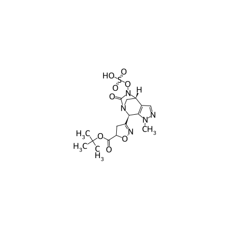 Cn1ncc2c1[C@@H](C1=NOC(C(=O)OC(C)(C)C)C1)N1C[C@@H]2N(OS(=O)(=O)O)C1=O